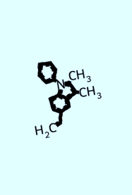 C=Cc1ccc2c(c1)c(C)c(C)n2-c1ccccc1